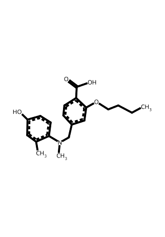 CCCCOc1cc(CN(C)c2ccc(O)cc2C)ccc1C(=O)O